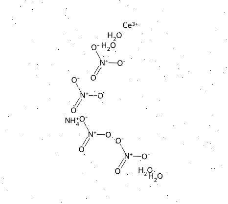 O.O.O.O.O=[N+]([O-])[O-].O=[N+]([O-])[O-].O=[N+]([O-])[O-].O=[N+]([O-])[O-].[Ce+3].[NH4+]